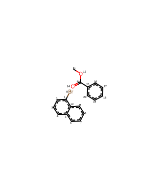 Brc1cccc2ccccc12.COC(=O)c1ccccc1